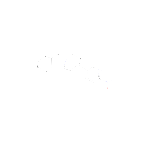 O=C1CCC(CN2CC=C(c3ccc([N+](=O)[O-])nc3)CC2)CC1